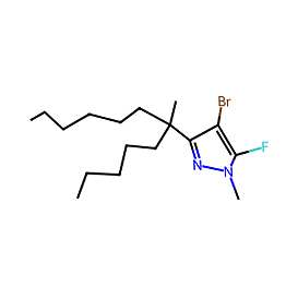 CCCCCCC(C)(CCCCC)c1nn(C)c(F)c1Br